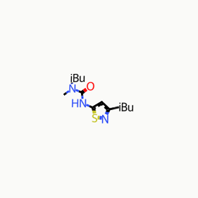 CCC(C)c1cc(NC(=O)N(C)C(C)CC)sn1